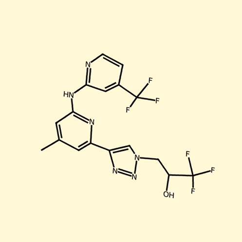 Cc1cc(Nc2cc(C(F)(F)F)ccn2)nc(-c2cn(CC(O)C(F)(F)F)nn2)c1